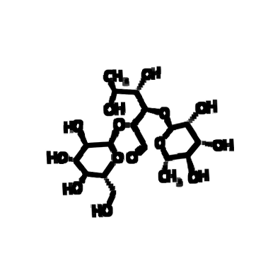 C[C@H](O)[C@H](O)[C@@H](O[C@@H]1O[C@@H](C)[C@H](O)[C@@H](O)[C@H]1O)[C@H](C=O)O[C@H]1O[C@H](CO)[C@@H](O)[C@H](O)[C@H]1O